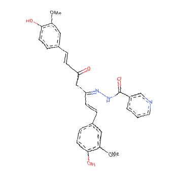 COc1cc(C=CC(=O)CC(C=Cc2ccc(O)c(OC)c2)=NNC(=O)c2cccnc2)ccc1O